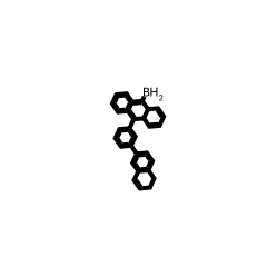 BC1=c2ccccc2=C(c2cccc(-c3ccc4c(c3)C=CCC4)c2)C2C=CC=CC12